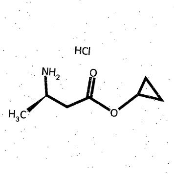 C[C@@H](N)CC(=O)OC1CC1.Cl